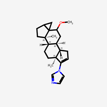 COC1C[C@H]2[C@@H]3CC=C(n4ccnc4)[C@@]3(C)CC[C@@H]2[C@@]2(C)CCC3CC312